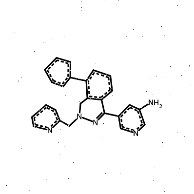 Nc1cncc(C2=NN(Cc3ccccn3)Cc3c2cccc3-c2ccccc2)c1